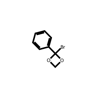 BrC1(c2ccccc2)OCO1